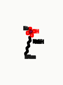 CCCCCCCCCCCCCCCCOP(=O)(O)OCC.[NaH].[NaH]